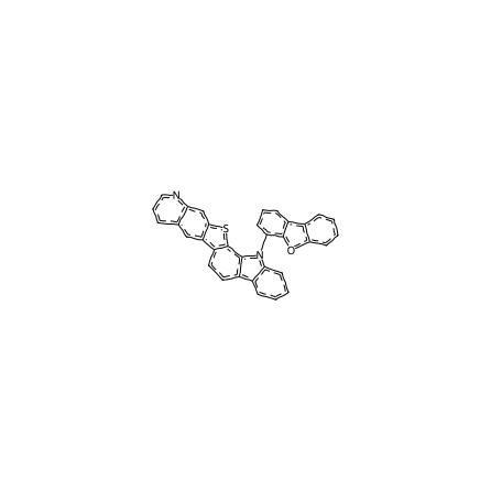 c1cnc2cc3sc4c(ccc5c6ccccc6n(-c6cccc7c6oc6ccccc67)c54)c3cc2c1